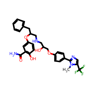 Cn1c(C(F)(F)F)cnc1-c1ccc(OCC(O)CNCC(Cc2ccccc2)Oc2ccc(O)c(C(N)=O)c2)cc1